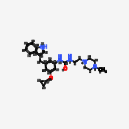 CN1CCN(CCNC(=O)Nc2cc(Cc3c[nH]c4ccccc34)cc(OC3CC3)c2)CC1